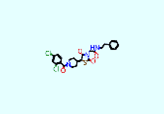 O=C(CN1C(=O)SC(=C2CCN(C(=O)c3ccc(Cl)cc3Cl)CC2)C1=O)NCCc1ccccc1